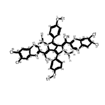 CCOc1ccc(-c2c3/c(=C(\C#N)c4cnc5cc(Cl)c(Cl)cc5n4)n(B(F)F)c(-c4ccc(OCC)cc4)c3/c(=C(\C#N)c3cnc4cc(Cl)c(Cl)cc4n3)n2B(F)F)cc1